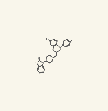 O=c1[nH]c2ccccc2n1C1CCN(CC2CN(c3ccc(F)cc3)c3ccc(F)cc3O2)CC1